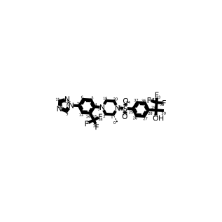 C[C@@H]1CN(c2ccc(-n3cncn3)cc2C(F)(F)F)CCN1S(=O)(=O)c1ccc(C(C)(O)C(F)(F)F)cc1